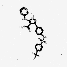 NC(=O)c1c(-c2ccc(NS(=O)(=O)c3ccc(C(F)(F)F)cc3)cc2)n[nH]c1Nc1cnccn1